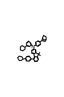 CC1(C)c2cc(N(c3ccc(C4CC5CCC4C5)cc3)c3cccc(C4CCCCC4)c3)ccc2-c2c(-c3ccc(C4CCCCC4)cc3)cccc21